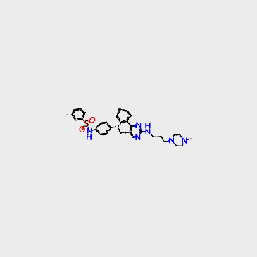 Cc1cccc(S(=O)(=O)Nc2ccc(C3Cc4cnc(NCCCN5CCN(C)CC5)nc4-c4ccccc43)cc2)c1